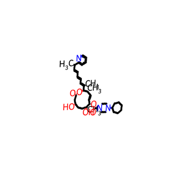 C\C(=C/C=C/C=C/C(C)c1ccccn1)C1OC(=O)CC(O)CC[C@@](C)(O)[C@@H](OC(=O)N2CCN(C3CCCCCC3)CC2)/C=C/C1C